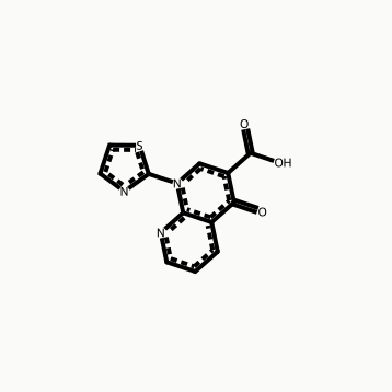 O=C(O)c1cn(-c2nccs2)c2ncccc2c1=O